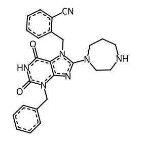 N#Cc1ccccc1Cn1c(N2CCCNCC2)nc2c1c(=O)[nH]c(=O)n2Cc1ccccc1